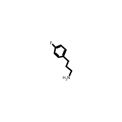 NCC[CH]c1ccc(F)cc1